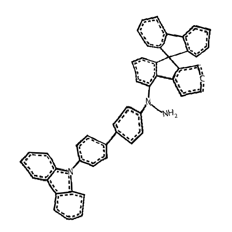 NN(c1ccc(-c2ccc(-n3c4ccccc4c4ccccc43)cc2)cc1)c1cccc2c1-c1ccccc1C21c2ccccc2-c2ccccc21